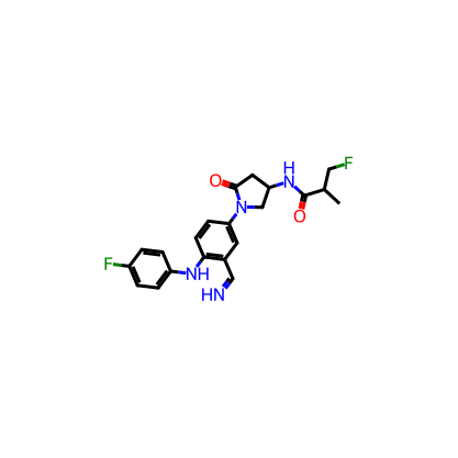 CC(CF)C(=O)NC1CC(=O)N(c2ccc(Nc3ccc(F)cc3)c(C=N)c2)C1